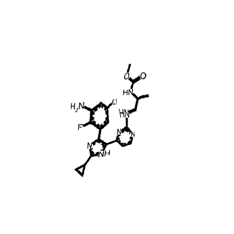 COC(=O)NC(C)CNc1nccc(-c2[nH]c(C3CC3)nc2-c2cc(Cl)cc(N)c2F)n1